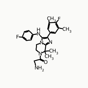 Cc1cc(-c2nc3n(c2Nc2ccc(F)cc2)CCN(C(=O)CN)C3(C)C)cc(C)c1F